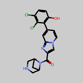 O=C(c1cn2ccc(-c3c(O)ccc(Cl)c3Cl)cc2n1)N1C2CNCC1C2